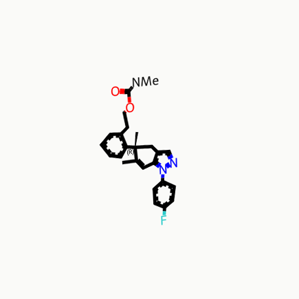 CNC(=O)OCCc1ccccc1[C@]1(C)Cc2cnn(-c3ccc(F)cc3)c2C=C1C